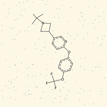 CC(C)(C)N1CC(c2ccc(Oc3ccc(OC(F)(F)F)cc3)nc2)C1